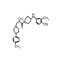 Cc1ccc(N2CCN(CC(C)C(=S)N3CCC(Nc4ccc(C#N)c(C)c4)CC3)CC2)cc1